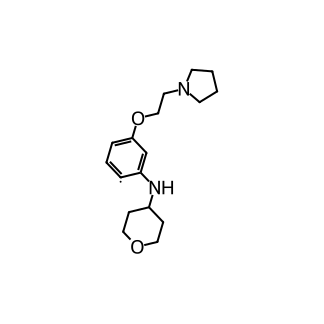 [c]1ccc(OCCN2CCCC2)cc1NC1CCOCC1